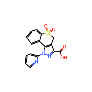 O=C(O)c1nn(-c2ccccn2)c2c1CS(=O)(=O)c1ccccc1-2